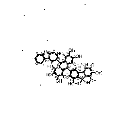 Oc1c(O)c(O)c2c(c1O)-c1c(O)c(-c3c4c(O)c(O)c(O)c(O)c4c(-c4ccc5oc6ccccc6c5c4)c4c(O)c(O)c(O)c(O)c34)c(O)c(O)c1C2(O)O